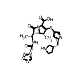 C[C@H]1C(Sc2cnn(C[C@@H]3CCNC3)c2)=C(C(=O)O)N2C(=O)[C@H]([C@@H](C)NC(=O)Cn3cnnn3)C12